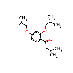 [CH2]C(C)CC(=O)c1ccc(OCC(C)C)cc1OCC(C)C